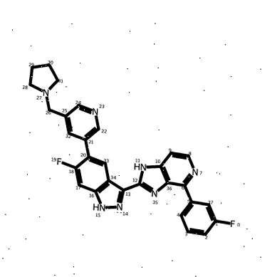 Fc1cccc(-c2nccc3[nH]c(-c4n[nH]c5cc(F)c(-c6cncc(CN7CCCC7)c6)cc45)nc23)c1